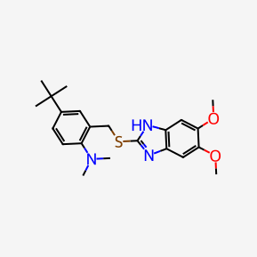 COc1cc2nc(SCc3cc(C(C)(C)C)ccc3N(C)C)[nH]c2cc1OC